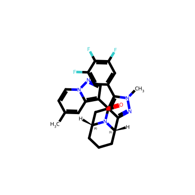 Cc1ccn2ncc(C(=O)N3[C@@H]4CCC[C@H]3c3nn(C)c(-c5cc(F)c(F)c(F)c5)c3C4)c2c1